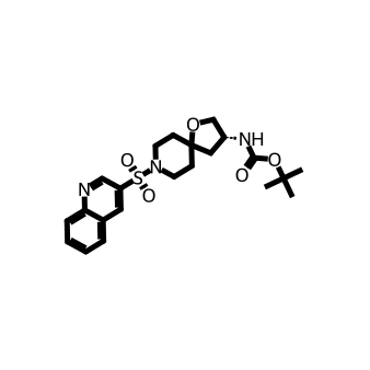 CC(C)(C)OC(=O)N[C@H]1COC2(CCN(S(=O)(=O)c3cnc4ccccc4c3)CC2)C1